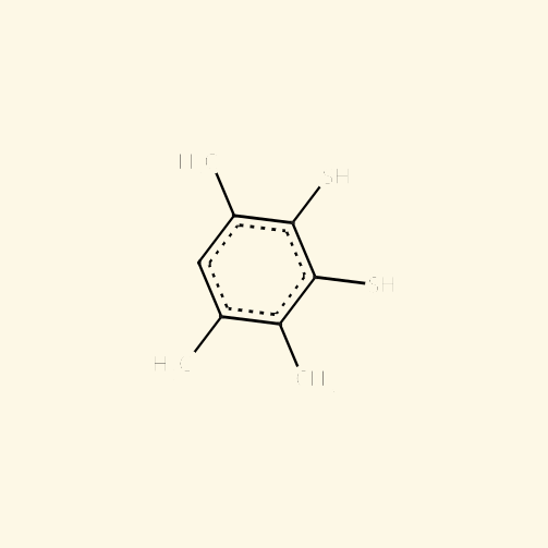 Cc1cc(C)c(S)c(S)c1C